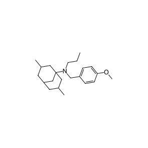 CCCN(Cc1ccc(OC)cc1)C12CC(C)CC(CC(C)C1)C2